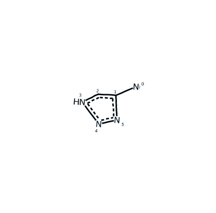 [N]c1c[nH]nn1